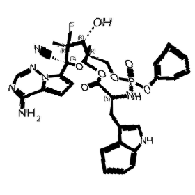 CCOC(=O)[C@H](Cc1c[nH]c2ccccc12)NP(=O)(OC[C@H]1O[C@@](C#N)(c2ccc3c(N)ncnn23)[C@](C)(F)[C@@H]1O)Oc1ccccc1